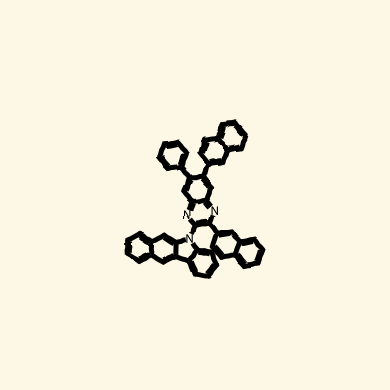 c1ccc(-c2cc3nc(-n4c5ccccc5c5cc6ccccc6cc54)c(-c4ccc5ccccc5c4)nc3cc2-c2ccc3ccccc3c2)cc1